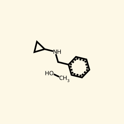 CO.c1ccc(CNC2CC2)cc1